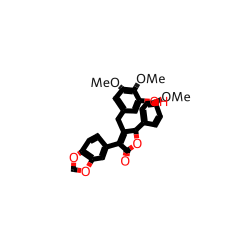 COc1ccc(C2OC(=O)C(c3ccc4c(c3)OCO4)=C2Cc2cc(O)c(OC)c(OC)c2)cc1